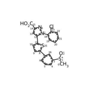 C[S+]([O-])c1cccc(-c2ccc(-c3cc(C(=O)O)nn3-c3ccccc3Cl)s2)c1